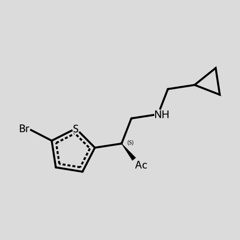 CC(=O)[C@H](CNCC1CC1)c1ccc(Br)s1